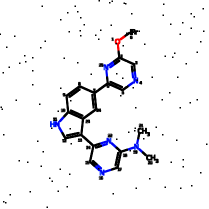 CC(C)Oc1cncc(-c2ccc3[nH]cc(-c4cncc(N(C)C)n4)c3c2)n1